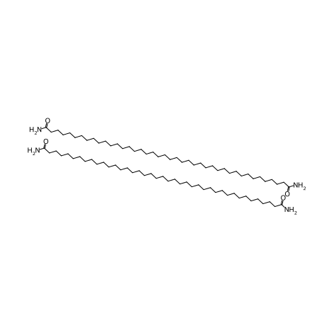 NC(=O)CCCCCCCCCCCCCCCCCCCCCCCCCCCCCCCCCCCCCCCC(N)=O.NC(=O)CCCCCCCCCCCCCCCCCCCCCCCCCCCCCCCCCCCCCCCCC(N)=O